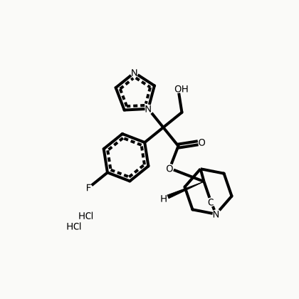 Cl.Cl.O=C(O[C@H]1CN2CCC1CC2)C(CO)(c1ccc(F)cc1)n1ccnc1